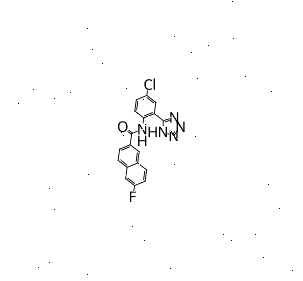 O=C(Nc1ccc(Cl)cc1-c1nnn[nH]1)c1ccc2cc(F)ccc2c1